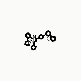 c1ccc(-c2cc(-c3ccc(-c4cccc5c4oc4ccccc45)cc3)nc(-c3ccccc3-c3ccccn3)n2)cc1